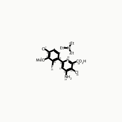 CCN(CC)CC.COc1c(Cl)ccc(-c2cc(N)c(Cl)c(C(=O)O)n2)c1F